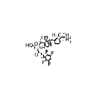 CC[C@H](CN[C@@H](CC(=O)O)C(=O)COc1c(F)c(F)cc(F)c1F)c1ccnn(Cc2cccc(C(C)(C)C)c2)c1=O